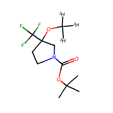 [2H]C([2H])([2H])OC1(C(F)(F)F)CCN(C(=O)OC(C)(C)C)C1